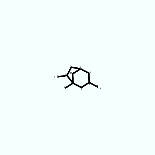 CC12CC(I)CC(CC1I)C2